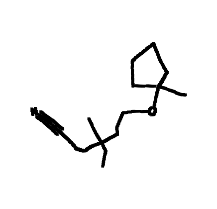 CC(C)(CC#N)CCOC1(C)CCCC1